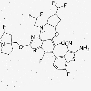 N#Cc1c(N)sc2c(F)ccc(-c3c(Cl)c4c5c(nc(OC[C@@]67CCCN6C[C@H](F)C7)nc5c3F)N(CC(F)F)C3CC(C(F)F)CC3O4)c12